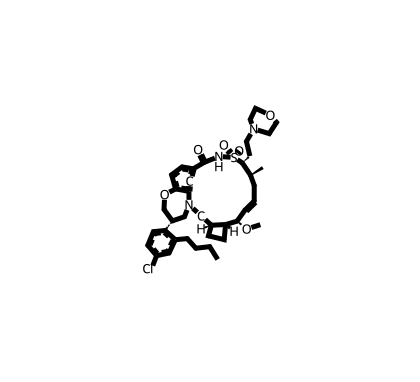 CCCCc1cc(Cl)ccc1[C@@H]1COc2ccc3cc2N(C1)C[C@@H]1CC[C@H]1[C@@H](OC)/C=C/C[C@H](C)[C@@H](CCN1CCOCC1)S(=O)(=O)NC3=O